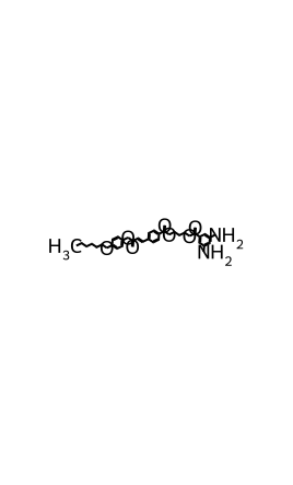 CCCCCCOc1ccc(OC(=O)/C=C/c2ccc(C(=O)OCCCOC(=O)c3cc(N)cc(N)c3)cc2)cc1